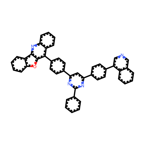 c1ccc(-c2nc(-c3ccc(-c4cncc5ccccc45)cc3)cc(-c3ccc(-c4c5ccccc5nc5c4oc4ccccc45)cc3)n2)cc1